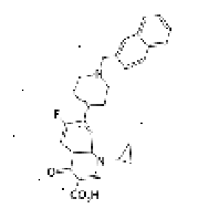 O=C(O)c1cn(C2CC2)c2cc(N3CCN(Cc4ccc5ccccc5c4)CC3)c(F)cc2c1=O